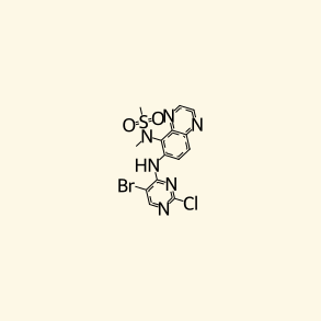 CN(c1c(Nc2nc(Cl)ncc2Br)ccc2nccnc12)S(C)(=O)=O